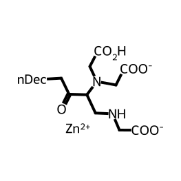 CCCCCCCCCCCC(=O)C(CNCC(=O)[O-])N(CC(=O)[O-])CC(=O)O.[Zn+2]